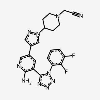 N#CCN1CCC(n2cc(-c3cnc(N)c(-c4nnnn4-c4cccc(F)c4F)c3)cn2)CC1